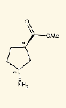 COC(=O)[C@@H]1CC[C@@H](N)C1